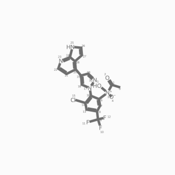 CC(=O)[N+]([O-])(O)c1cc(C(F)(F)F)cc(Cl)c1-n1cc(-c2ccnc3[nH]ccc23)cn1